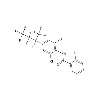 O=C(Nc1c(Cl)cc(C(F)(C(F)(F)F)C(F)(F)C(F)(F)F)cc1Cl)c1ccccc1F